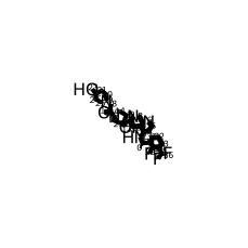 C[C@@H](Nc1ccnc2cnc(C3(O)CCN(C(=O)CN4CCC(O)CC4)CC3)cc12)c1cccc(C(F)F)c1F